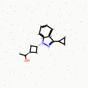 CC(O)[C@H]1C[C@H](n2nc(C3CC3)c3ccccc32)C1